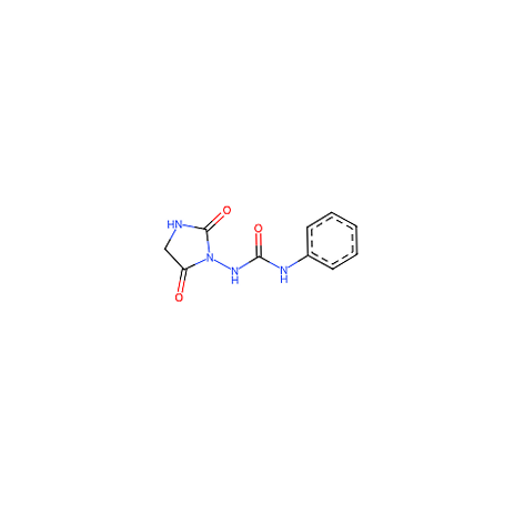 O=C(Nc1ccccc1)NN1C(=O)CNC1=O